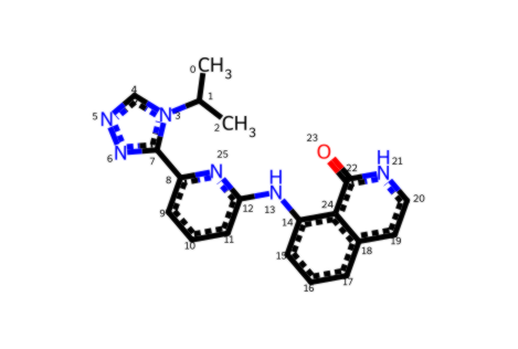 CC(C)n1cnnc1-c1cccc(Nc2cccc3cc[nH]c(=O)c23)n1